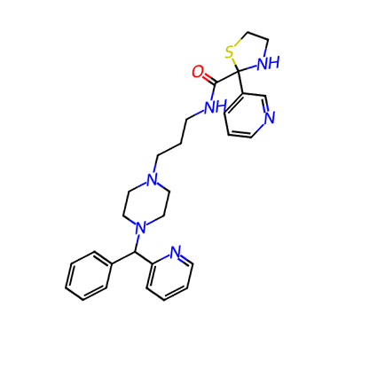 O=C(NCCCN1CCN(C(c2ccccc2)c2ccccn2)CC1)C1(c2cccnc2)NCCS1